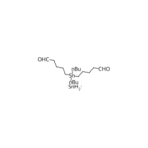 CCC[CH2][Sn]([CH2]CCC)([CH2]CCCC=O)[CH2]CCCC=O.[SnH2]